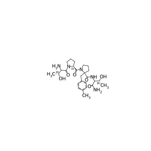 Cc1ccc(CC2(C(=O)NC(C(N)=O)[C@@H](C)O)CCCN2C(=O)[C@@H]2CCCN2C(=O)C(N)[C@@H](C)O)cc1